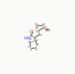 O=C1Nc2ccccc2C1=Cc1sccc1Br